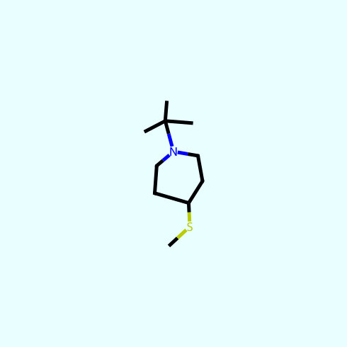 CSC1CCN(C(C)(C)C)CC1